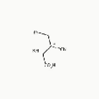 CC(C)C[C@H](C#N)CC(=O)O.[KH]